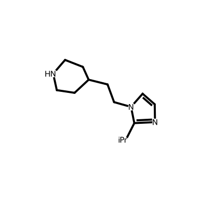 CC(C)c1nccn1CCC1CCNCC1